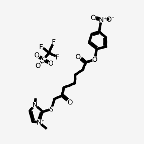 Cn1cc[n+](C)c1SCC(=O)CCCCC(=O)Oc1ccc([N+](=O)[O-])cc1.O=S(=O)([O-])C(F)(F)F